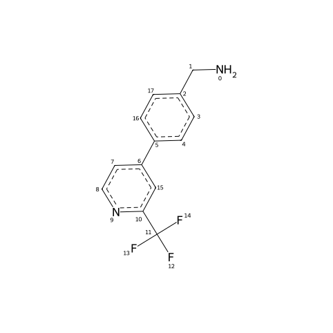 NCc1ccc(-c2ccnc(C(F)(F)F)c2)cc1